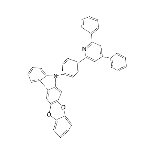 c1ccc(-c2cc(-c3ccccc3)nc(-c3ccc(-n4c5ccccc5c5cc6c(cc54)Oc4ccccc4O6)cc3)c2)cc1